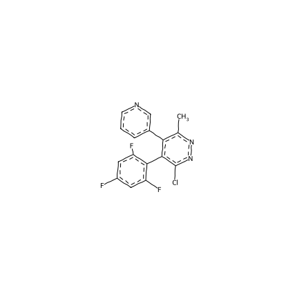 Cc1nnc(Cl)c(-c2c(F)cc(F)cc2F)c1-c1cccnc1